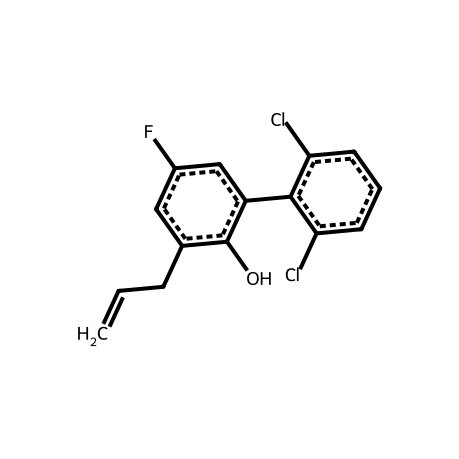 C=CCc1cc(F)cc(-c2c(Cl)cccc2Cl)c1O